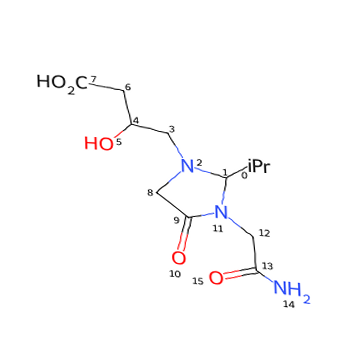 CC(C)C1N(CC(O)CC(=O)O)CC(=O)N1CC(N)=O